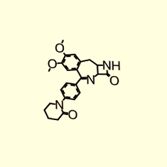 COc1cc2c(cc1OC)C(c1ccc(N3CCCCC3=O)cc1)=NC1C(=O)NC1C2